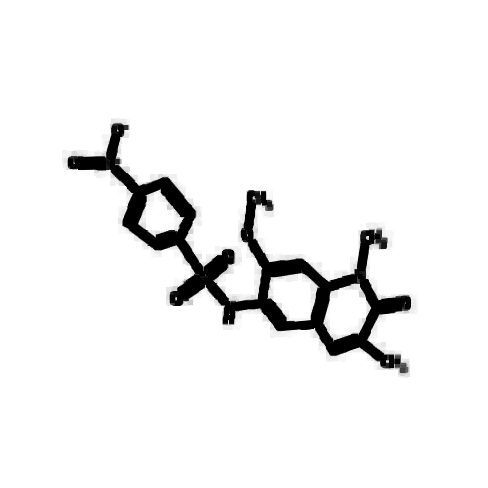 COc1cc2c(cc1NS(=O)(=O)c1ccc([N+](=O)[O-])cc1)cc(C)c(=O)n2C